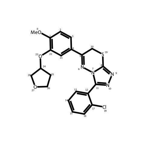 COc1ccc(C2=Nn3c(nnc3-c3ccccc3Cl)SC2)cc1OC1CCOC1